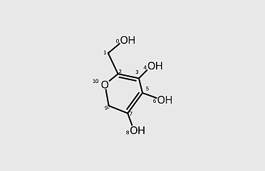 OCC1=C(O)C(O)=C(O)[CH]O1